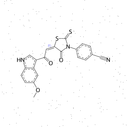 COc1ccc2[nH]cc(C(=O)/C=C3/SC(=S)N(c4ccc(C#N)cc4)C3=O)c2c1